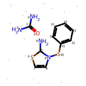 NC(N)=O.NC1SC=CN1Sc1ccccc1